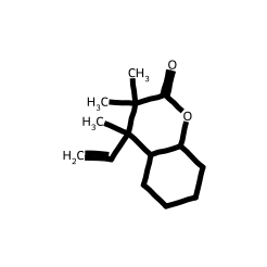 C=CC1(C)C2CCCCC2OC(=O)C1(C)C